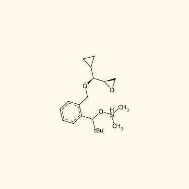 C[SiH](C)OC(c1ccccc1CO[C@@H](C1CC1)[C@H]1CO1)C(C)(C)C